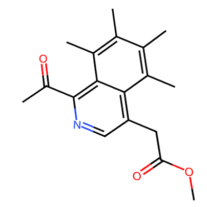 COC(=O)Cc1cnc(C(C)=O)c2c(C)c(C)c(C)c(C)c12